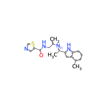 C=C(CNC(=O)c1cncs1)/N=C(\C)c1cc2c(C)cccc2[nH]1